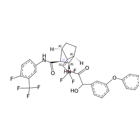 O=C(N[C@H]1[C@@H](C(=O)Nc2ccc(F)c(C(F)(F)F)c2)[C@H]2CC[C@@H]1/C2=C\C(F)(F)F)C(O)c1cccc(Oc2ccccc2)c1